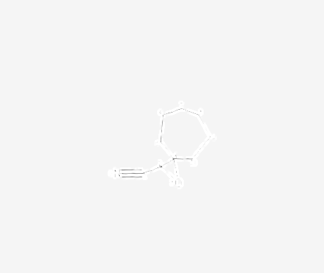 N#CC1OC12CCCCCC2